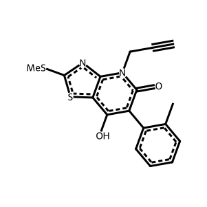 C#CCn1c(=O)c(-c2ccccc2C)c(O)c2sc(SC)nc21